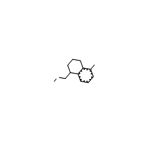 CNCC1CCCc2c(F)cccc21